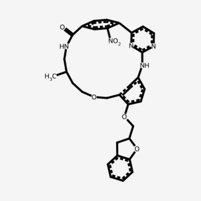 CC1CCOCc2cc(ccc2OCC2Cc3ccccc3O2)Nc2nccc(n2)-c2ccc(cc2[N+](=O)[O-])C(=O)NC1